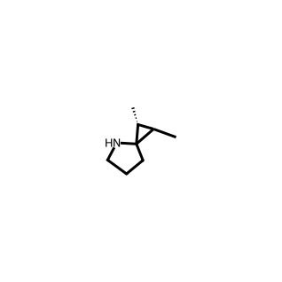 CC1[C@@H](C)C12CCCN2